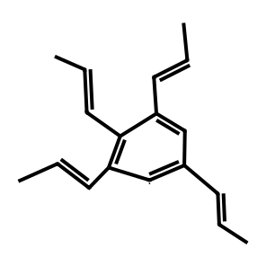 CC=Cc1[c]c(C=CC)c(C=CC)c(C=CC)c1